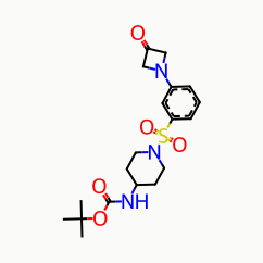 CC(C)(C)OC(=O)NC1CCN(S(=O)(=O)c2cccc(N3CC(=O)C3)c2)CC1